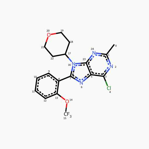 Cc1nc(Cl)c2nc(-c3ccccc3OC(F)(F)F)n(C3CCOCC3)c2n1